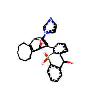 O=C1c2ccccc2S(=O)(=O)c2c1cccc2C1=C(n2ccnc2)C2OC1C1=C2CCCCCC1